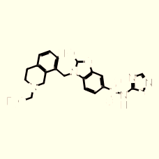 O=S(=O)(Nc1ncns1)c1ccc2c(c1)OC(O)N2Cc1cccc2c1CN(CC(F)(F)F)CC2